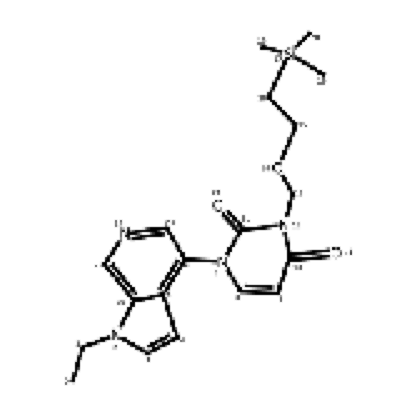 CCn1ccc2c(-n3ccc(=O)n(COCC[Si](C)(C)C)c3=O)cncc21